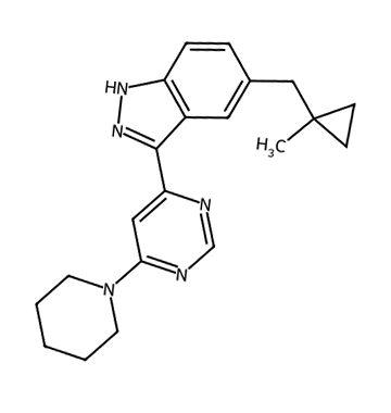 CC1(Cc2ccc3[nH]nc(-c4cc(N5CCCCC5)ncn4)c3c2)CC1